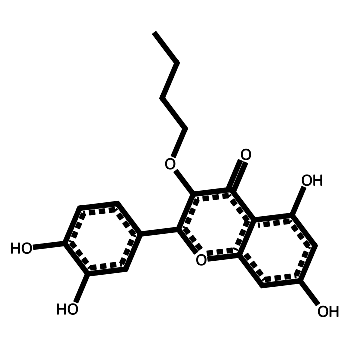 CCCCOc1c(-c2ccc(O)c(O)c2)oc2cc(O)cc(O)c2c1=O